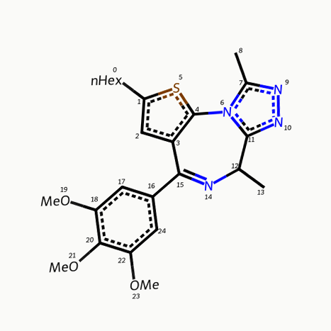 CCCCCCc1cc2c(s1)-n1c(C)nnc1C(C)N=C2c1cc(OC)c(OC)c(OC)c1